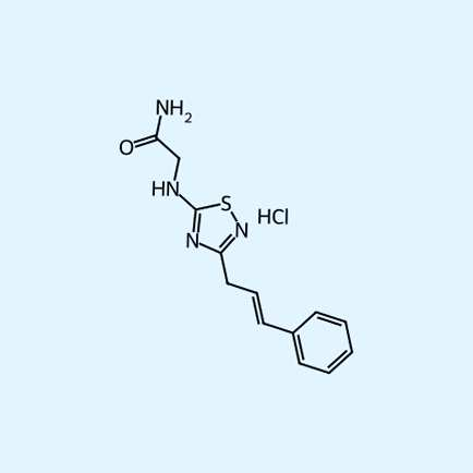 Cl.NC(=O)CNc1nc(CC=Cc2ccccc2)ns1